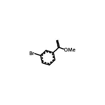 C=C(OC)c1cccc(Br)c1